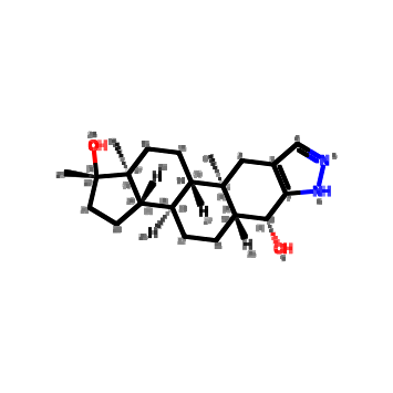 C[C@]12Cc3cn[nH]c3[C@H](O)[C@@H]1CC[C@@H]1[C@@H]2CC[C@@]2(C)[C@H]1CC[C@]2(C)O